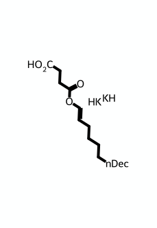 CCCCCCCCCCCCCCC=COC(=O)CCC(=O)O.[KH].[KH]